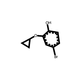 Oc1ccc(Br)cc1OC1CC1